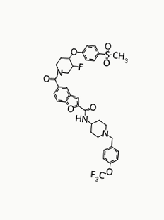 CS(=O)(=O)c1ccc(OC2CCN(C(=O)c3ccc4oc(C(=O)NC5CCN(Cc6ccc(OC(F)(F)F)cc6)CC5)cc4c3)CC2F)cc1